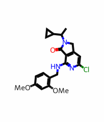 COc1ccc(CNc2nc(Cl)cc3c2C(=O)N(C(C)C2CC2)C3)c(OC)c1